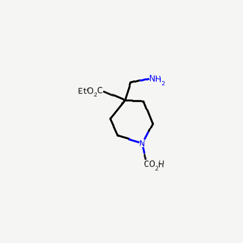 CCOC(=O)C1(CN)CCN(C(=O)O)CC1